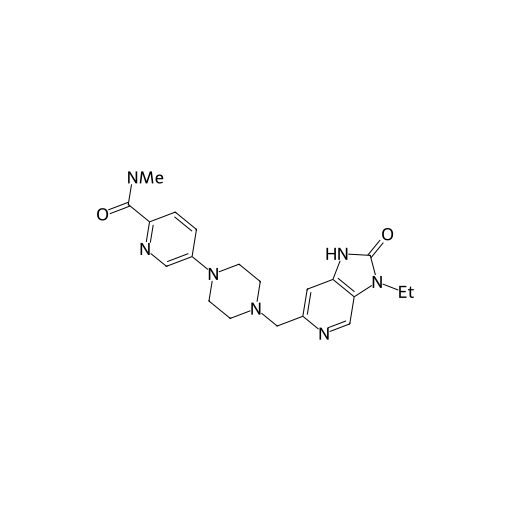 CCn1c(=O)[nH]c2cc(CN3CCN(c4ccc(C(=O)NC)nc4)CC3)ncc21